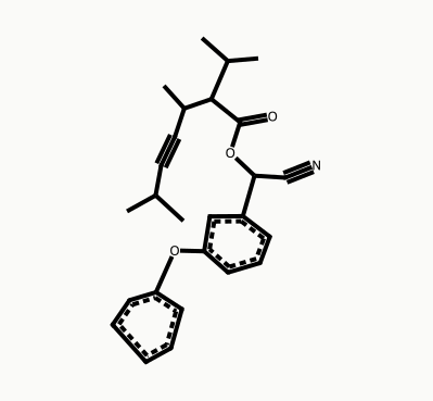 CC(C)C#CC(C)C(C(=O)OC(C#N)c1cccc(Oc2ccccc2)c1)C(C)C